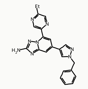 CCc1cnc(-c2cc(-c3cnn(Cc4ccccc4)c3)cc3nc(N)nn23)cn1